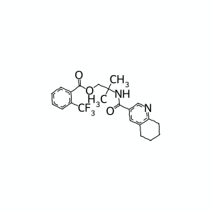 CC(C)(COC(=O)c1ccccc1C(F)(F)F)NC(=O)c1cnc2c(c1)CCCC2